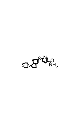 NC(=O)c1ccc(Oc2ccc3c(c2)CCC3N2CCSCC2)nc1